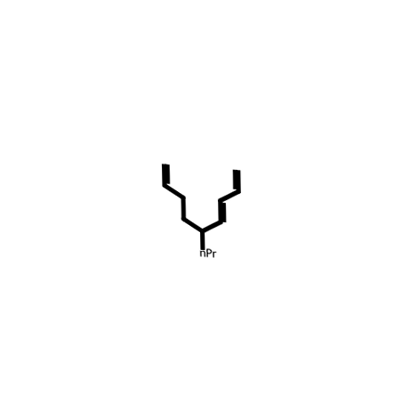 C=CC=CC(CCC)CCC=C